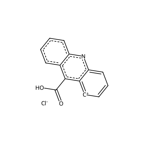 O=C(O)c1c2c(nc3ccccc13)=CC=C[C+]=2.[Cl-]